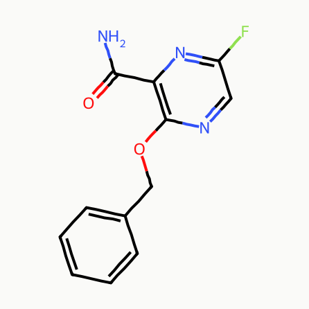 NC(=O)c1nc(F)cnc1OCc1ccccc1